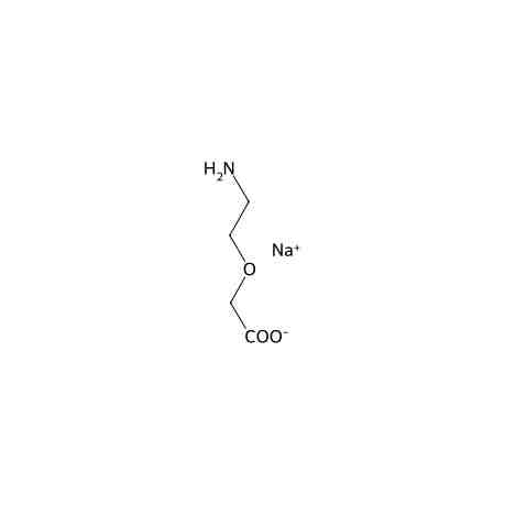 NCCOCC(=O)[O-].[Na+]